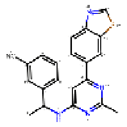 Cc1nc(NC(C)c2cccc(C#N)c2)cc(-c2ccc3ncsc3c2)n1